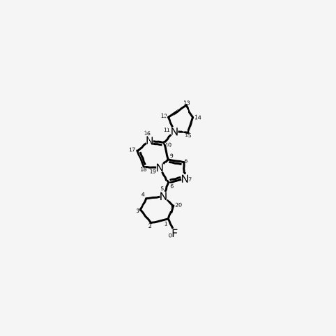 FC1CCCN(c2ncc3c(N4CCCC4)nccn23)C1